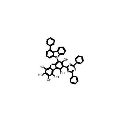 Oc1c(O)c(O)c2c(sc3c(-n4c5ccccc5c5c(-c6ccccc6)cccc54)c(O)c(-c4nc(-c5ccccc5)nc(-c5ccccc5)n4)c(O)c32)c1O